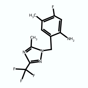 Cc1cc(Cn2nc(C(F)(F)F)nc2C)c(N)cc1F